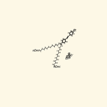 CCCCCCCCCCCCCCCCCCCCCCN(CCCCCCCCCCCCCCCCCCCCCC)c1ccc(C#Cc2cc[n+](CC)cc2)cc1.CCOS(=O)(=O)[O-]